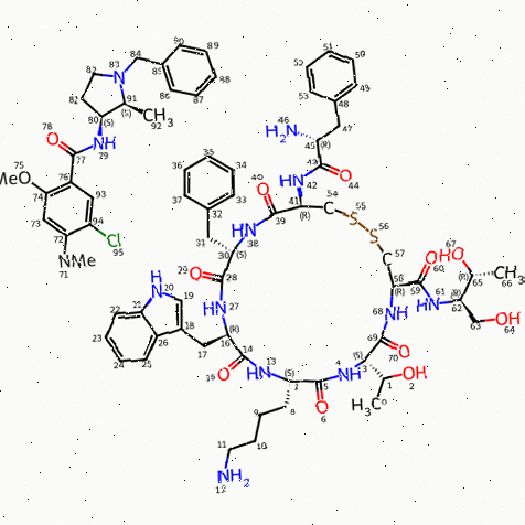 CC(O)[C@@H]1NC(=O)[C@H](CCCCN)NC(=O)[C@@H](Cc2c[nH]c3ccccc23)NC(=O)[C@H](Cc2ccccc2)NC(=O)[C@@H](NC(=O)[C@H](N)Cc2ccccc2)CSSC[C@@H](C(=O)N[C@H](CO)[C@@H](C)O)NC1=O.CNc1cc(OC)c(C(=O)N[C@H]2CCN(Cc3ccccc3)[C@H]2C)cc1Cl